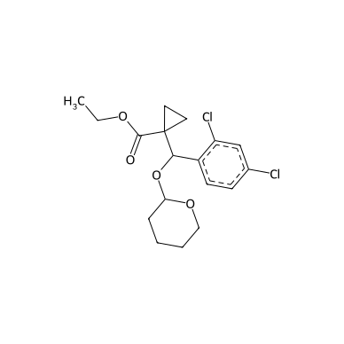 CCOC(=O)C1(C(OC2CCCCO2)c2ccc(Cl)cc2Cl)CC1